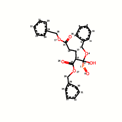 O=PC(O)(OCc1ccccc1)C(CCC(=O)OCc1ccccc1)C(=O)OCc1ccccc1